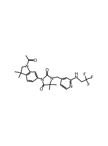 CC(=O)N1CC(C)(C)c2ccc(N3C(=O)N(Cc4ccnc(NCC(F)(F)F)c4)C(C)(C)C3=O)cc21